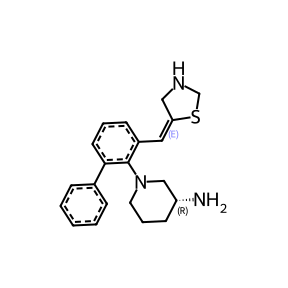 N[C@@H]1CCCN(c2c(/C=C3\CNCS3)cccc2-c2ccccc2)C1